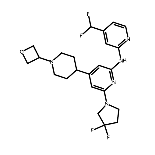 FC(F)c1ccnc(Nc2cc(C3CCN(C4COC4)CC3)cc(N3CCC(F)(F)C3)n2)c1